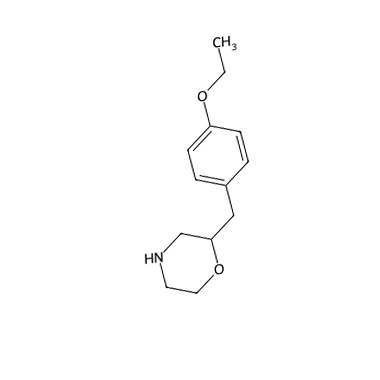 CCOc1ccc(CC2CNCCO2)cc1